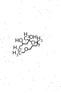 CC(O)CC(C)(C)O.CCCCOCC